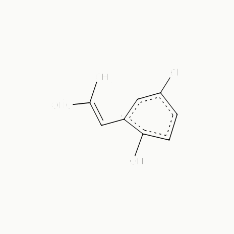 CC(C=O)=Cc1cc(Cl)ccc1O